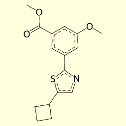 COC(=O)c1cc(OC)cc(-c2ncc(C3CCC3)s2)c1